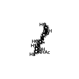 CC(=O)Nc1cc(S)cc2cc(S)c(/N=N/c3cc(C)c(/N=N/c4ccc(S(=O)(=O)Nc5ccc(O)cc5)cc4)cc3O)c(O)c12